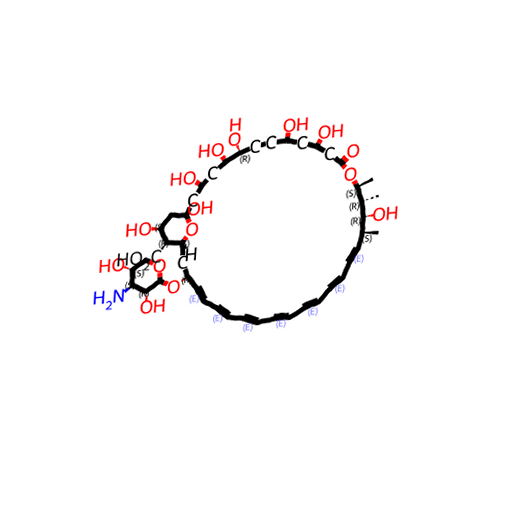 C[C@@H]1[C@H](O)[C@@H](C)/C=C/C=C/C=C/C=C/C=C/C=C/C=C/[C@H](OC2OC[C@@H](O)[C@H](N)[C@H]2O)C[C@@H]2OC(O)(CC(O)CC(O)[C@H](O)CCC(O)CC(O)CC(=O)O[C@H]1C)C[C@H](O)[C@H]2C(=O)O